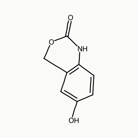 O=C1Nc2ccc(O)cc2CO1